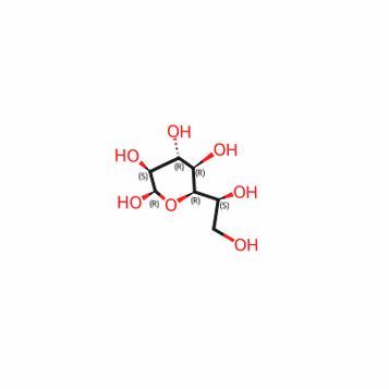 OC[C@H](O)[C@H]1O[C@@H](O)[C@@H](O)[C@H](O)[C@H]1O